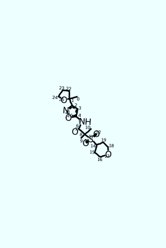 CC1(c2cc(NC(=O)C(C)(C)S(=O)(=O)C3CCOCC3)on2)CCCO1